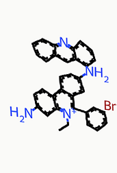 CC[n+]1c(-c2ccccc2)c2cc(N)ccc2c2ccc(N)cc21.[Br-].c1ccc2nc3ccccc3cc2c1